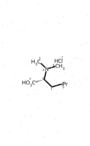 CC(C)C[C@H](C(=O)O)N(C)C.Cl